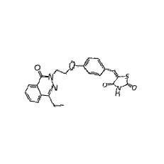 CCc1nn(CCOc2ccc(C=C3SC(=O)NC3=O)cc2)c(=O)c2ccccc12